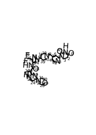 O=C1CCN(c2cc(CN3CCC(n4cc(NC(=O)c5cnn6ccc(N7CCOCC7)nc56)c(C(F)F)n4)CC3)ccn2)C(=O)N1